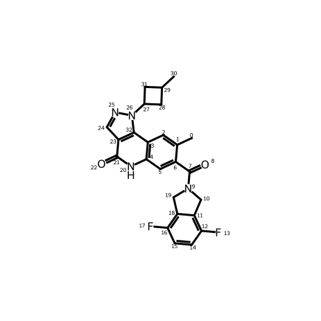 Cc1cc2c(cc1C(=O)N1Cc3c(F)ccc(F)c3C1)[nH]c(=O)c1cnn(C3CC(C)C3)c12